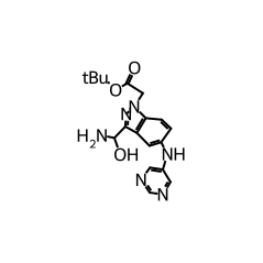 CC(C)(C)OC(=O)Cn1nc(C(N)O)c2cc(Nc3cncnc3)ccc21